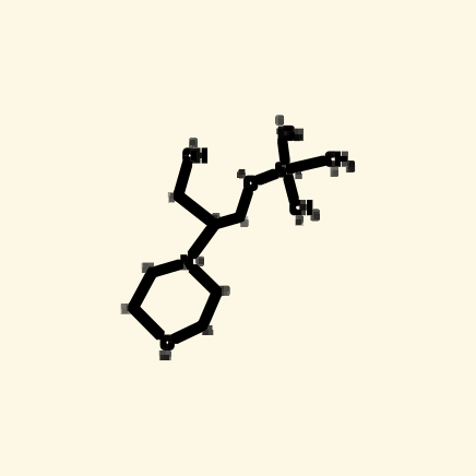 CC(C)(C)[Si](C)(C)OCC(CO)N1CCOCC1